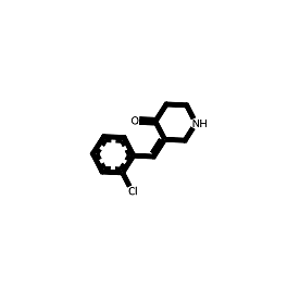 O=C1CCNCC1=Cc1ccccc1Cl